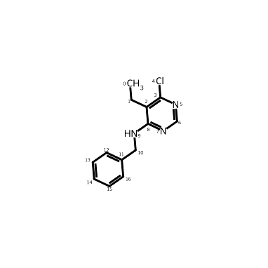 CCc1c(Cl)ncnc1NCc1ccccc1